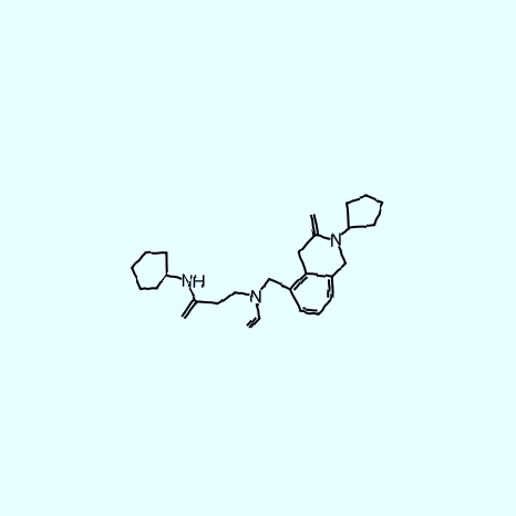 C=CN(CCC(=C)NC1CCCCC1)Cc1cccc2c1CC(=C)N(C1CCCC1)C2